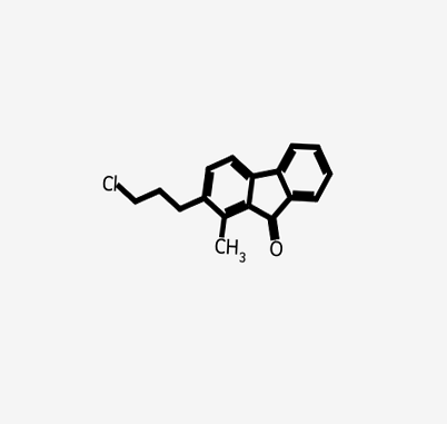 Cc1c(CCCCl)ccc2c1C(=O)c1ccccc1-2